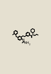 C=C(c1cccc(CCc2cc(Cc3ccccc3C)ccc2/N=C(\C)N)c1)N(CCC)C1CCCCC1